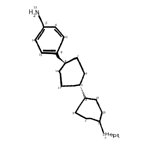 CCCCCCCC1CCC([C@H]2CC[C@H](c3ccc(N)cc3)CC2)CC1